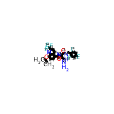 CCC(C)Oc1ccc(-c2nc(C(=O)NCc3c(F)cc(F)cc3F)c(CN)o2)c2ccc(C(F)(F)F)nc12